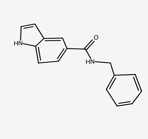 O=C(NCc1ccccc1)c1ccc2[nH]ccc2c1